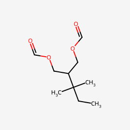 CCC(C)(C)C(COC=O)COC=O